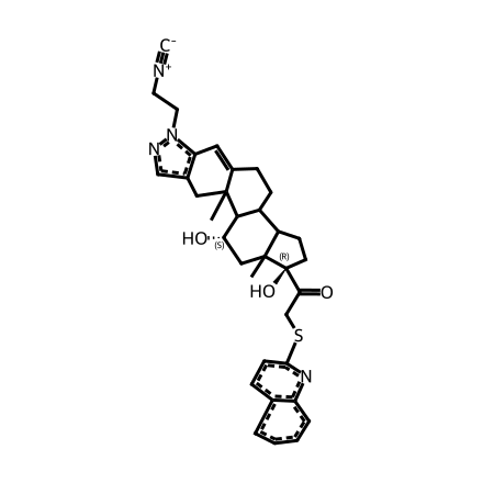 [C-]#[N+]CCn1ncc2c1C=C1CCC3C([C@@H](O)CC4(C)C3CC[C@]4(O)C(=O)CSc3ccc4ccccc4n3)C1(C)C2